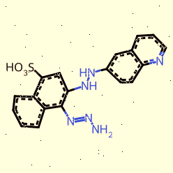 NN=Nc1c(NNc2ccc3ncccc3c2)cc(S(=O)(=O)O)c2ccccc12